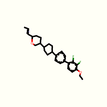 C/C=C/C1CCC(C2CCC(c3ccc(-c4ccc(OCC)c(F)c4F)cc3)CC2)CO1